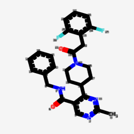 Cc1ncc(C(=O)NCc2ccccc2)c(C2CCN(C(=O)Cc3c(F)cccc3F)CC2)n1